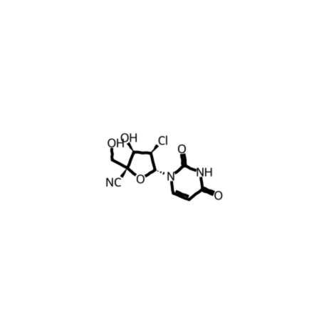 N#C[C@]1(CO)O[C@@H](n2ccc(=O)[nH]c2=O)[C@H](Cl)[C@@H]1O